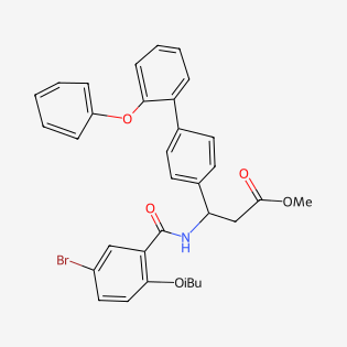 COC(=O)CC(NC(=O)c1cc(Br)ccc1OCC(C)C)c1ccc(-c2ccccc2Oc2ccccc2)cc1